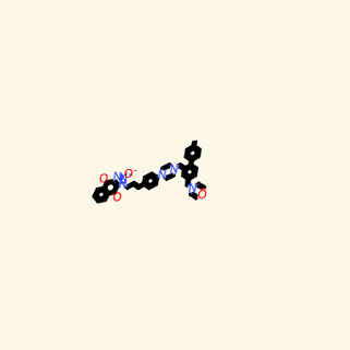 Cc1ccc(-c2ccc(CN3CCOCC3)cc2CN2CCN(c3ccc(CCCn4c5c(n[n+]4[O-])C(=O)c4ccccc4C5=O)cc3)CC2)cc1